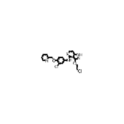 ClCCOc1n[nH]c2ccnc(Nc3ccc(OCc4ccccn4)c(Cl)c3)c12